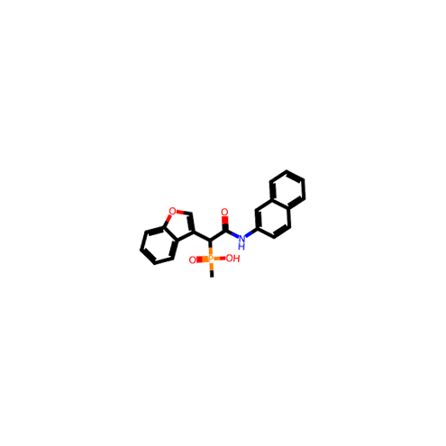 CP(=O)(O)C(C(=O)Nc1ccc2ccccc2c1)c1coc2ccccc12